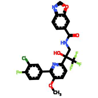 COc1ccc(C(O)(CNC(=O)c2ccc3ncoc3c2)C(F)(F)F)nc1-c1ccc(F)c(Cl)c1